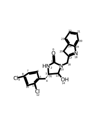 O=C1N[C@@H](Cc2ccc(Cl)cc2Cl)C(O)N1CC1=Nc2ccccc2C1